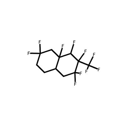 FC1C2(F)CC(F)(F)CCC2CC(F)(F)C1(F)C(F)(F)F